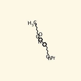 CC=CCCCCC(=O)Oc1ccc(-c2ccc(CCCCCOCCC)cc2)nc1